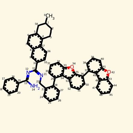 CC1CCc2c(ccc3cc(C(/N=C(\N)c4ccccc4)=N/Cc4ccccc4-c4cccc5oc6c(-c7cccc8oc9ccccc9c78)cccc6c45)ccc23)C1